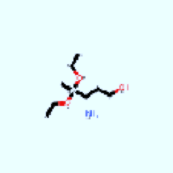 CCO[Si](C)(CCCO)OCC.N